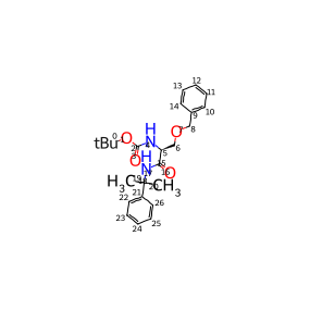 CC(C)(C)OC(=O)N[C@@H](COCc1ccccc1)C(=O)NC(C)(C)c1ccccc1